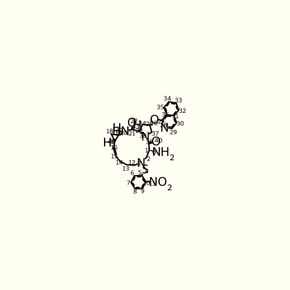 N[C@H]1CN(Sc2ccccc2[N+](=O)[O-])CCC/C=C\[C@@H]2C[C@H]2NC(=O)[C@@H]2C[C@@H](Oc3nccc4ccccc34)CN2C1=O